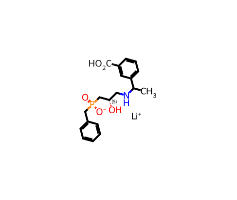 CC(NC[C@H](O)CP(=O)([O-])Cc1ccccc1)c1cccc(C(=O)O)c1.[Li+]